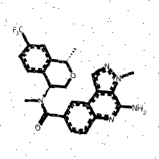 C[C@@H]1OC[C@@H](N(C)C(=O)c2ccc3nc(N)c4c(cnn4C)c3c2)c2ccc(C(F)(F)F)cc21